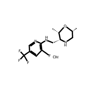 C[C@@H]1CN[C@H](CNc2ncc(C(F)(F)F)cc2F)[C@H](C)O1.Cl